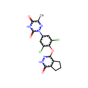 N#Cc1nn(-c2cc(Cl)c(Oc3n[nH]c(=O)c4c3CCC4)c(Cl)c2)c(=O)[nH]c1=O